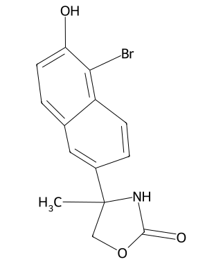 CC1(c2ccc3c(Br)c(O)ccc3c2)COC(=O)N1